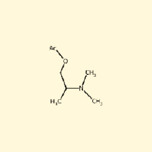 CC(=O)OCC(C)N(C)C